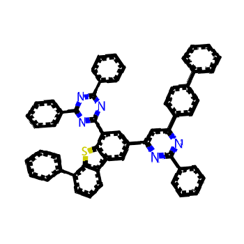 c1ccc(-c2ccc(-c3cc(-c4cc(-c5nc(-c6ccccc6)nc(-c6ccccc6)n5)c5sc6c(-c7ccccc7)cccc6c5c4)nc(-c4ccccc4)n3)cc2)cc1